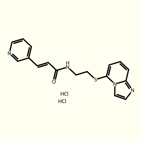 Cl.Cl.O=C(/C=C/c1cccnc1)NCCSc1cccc2nccn12